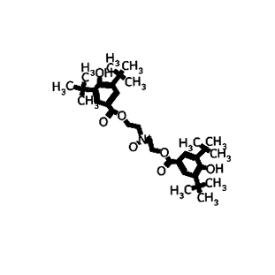 CC(C)(C)c1cc(C(=O)OC/C=[N+](\[O-])CCOC(=O)c2cc(C(C)(C)C)c(O)c(C(C)(C)C)c2)cc(C(C)(C)C)c1O